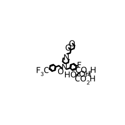 O=C(Cc1ccc(C(F)(F)F)cc1)N(Cc1ccc(F)cc1)C1CCN(CCC2CCOCO2)CC1.O=C(O)C(O)C(O)C(=O)O